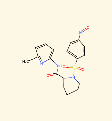 Cc1cccc(NC(=O)C2CCCCN2S(=O)(=O)c2ccc(N=O)cc2)n1